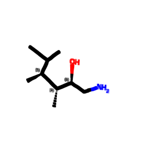 CC(C)[C@H](C)[C@@H](C)[C@@H](O)CN